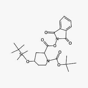 CC(C)(C)OC(=O)N1CCC(O[Si](C)(C)C(C)(C)C)CC1C(=O)ON1C(=O)c2ccccc2C1=O